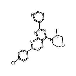 C[C@H]1COCCN1c1nc(-c2cccnc2)nc2nc(-c3ccc(Cl)cc3)ccc12